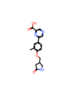 Cc1cc(-c2cncc(C(=O)O)n2)ccc1OCC1CNC(=O)C1